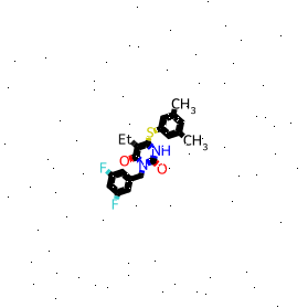 CCc1c(Sc2cc(C)cc(C)c2)[nH]c(=O)n(Cc2cc(F)cc(F)c2)c1=O